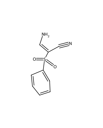 N#CC(=CN)S(=O)(=O)c1ccccc1